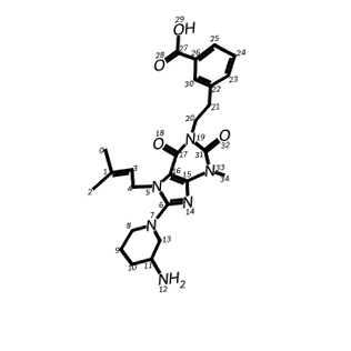 CC(C)=CCn1c(N2CCCC(N)C2)nc2c1c(=O)n(CCc1cccc(C(=O)O)c1)c(=O)n2C